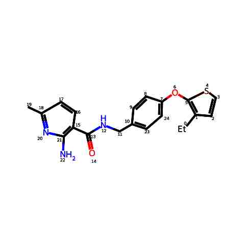 CCc1ccsc1Oc1ccc(CNC(=O)c2ccc(C)nc2N)cc1